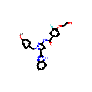 CCOc1ccc(Cn2nc(NC(=O)c3ccc(OCCO)c(F)c3)cc2-c2nc3ccccc3[nH]2)cc1